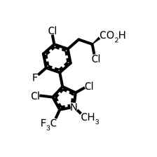 Cn1c(Cl)c(-c2cc(C[C@H](Cl)C(=O)O)c(Cl)cc2F)c(Cl)c1C(F)(F)F